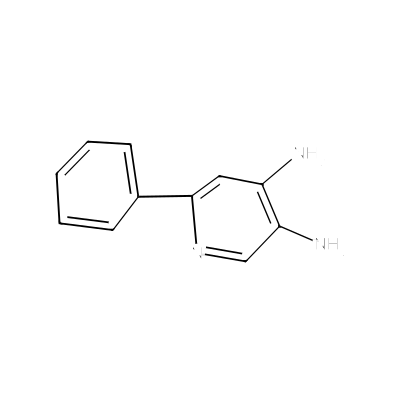 Nc1cnc(-c2ccccc2)cc1N